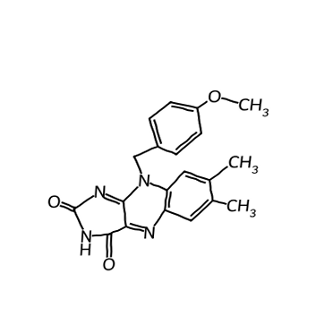 COc1ccc(Cn2c3nc(=O)[nH]c(=O)c-3nc3cc(C)c(C)cc32)cc1